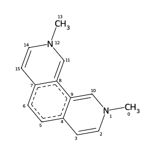 CN1C=Cc2ccc3c(c2=C1)=CN(C)C=C3